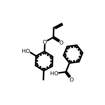 C=CC(=O)Oc1ccc(C)cc1O.O=C(O)c1ccccc1